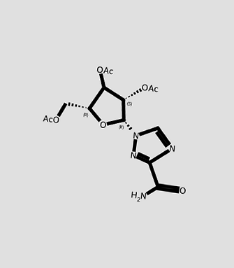 CC(=O)OC[C@H]1O[C@@H](n2cnc(C(N)=O)n2)[C@@H](OC(C)=O)C1OC(C)=O